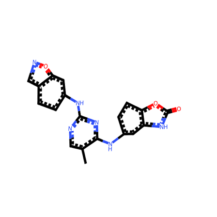 Cc1cnc(Nc2ccc3cnoc3c2)nc1Nc1ccc2oc(=O)[nH]c2c1